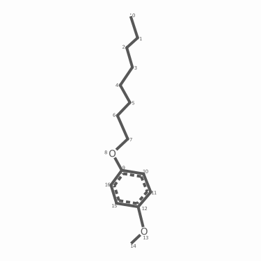 [CH2]CCCCCCCOc1ccc(OC)cc1